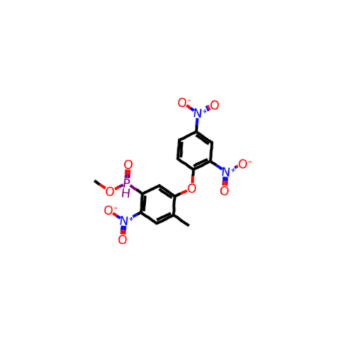 CO[PH](=O)c1cc(Oc2ccc([N+](=O)[O-])cc2[N+](=O)[O-])c(C)cc1[N+](=O)[O-]